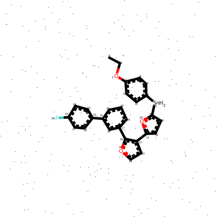 CCOc1cc[c]([SnH2][c]2ccc(-c3ccoc3-c3cccc(-c4ccc(F)cc4)c3)o2)cc1